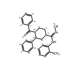 Cc1ccccc1N/C(=N/C#N)N1CCN(C(=O)c2ccccc2)C(c2ccccc2)C1